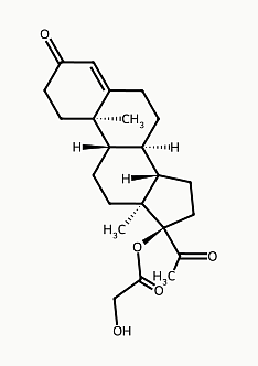 CC(=O)[C@@]1(OC(=O)CO)CC[C@H]2[C@@H]3CCC4=CC(=O)CC[C@]4(C)[C@H]3CC[C@@]21C